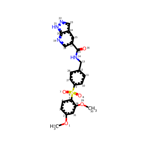 COc1ccc(S(=O)(=O)c2ccc(CNC(=O)c3cnc4[nH]ncc4c3)cc2)c(OC)c1